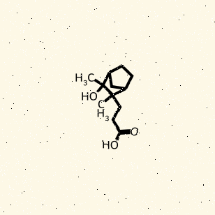 CC1(O)C2CCC(C2)C1(C)CCC(=O)O